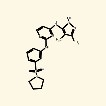 Cc1nn(C)c(Nc2ccnc(Nc3cccc(S(=O)(=O)N4CCCC4)c3)n2)c1C